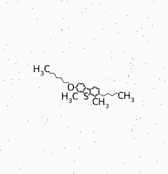 CCCCCCCOc1ccc2c(sc3c(C)c(CCCCC)ccc32)c1C